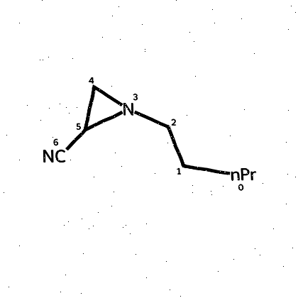 CCCCCN1CC1C#N